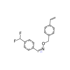 C=Cc1ccc(CO/N=[C]\c2ccc(C(F)F)cc2)cc1